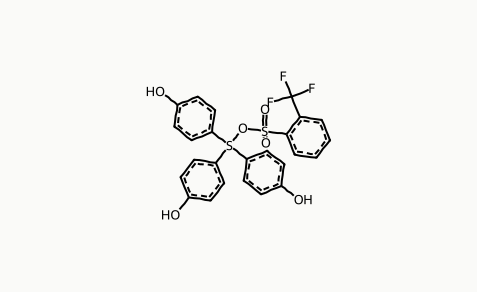 O=S(=O)(OS(c1ccc(O)cc1)(c1ccc(O)cc1)c1ccc(O)cc1)c1ccccc1C(F)(F)F